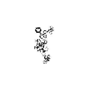 CC1(C)[C@H](C(=O)OCCS(C)(=O)=O)N2C(=O)[C@@H](NC(=O)CN(C(=O)OCCS(C)(=O)=O)c3ccccc3)[C@H]2[S+]1[O-]